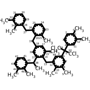 Cc1ccc(C(c2cc(C)c(C)c(Cc3c(C)cc(Cc4c(C)cccc4Cc4cccc(C)c4C)cc3C(C)c3cccc(C)c3C)c2)(C(Cl)(Cl)Cl)C(Cl)(Cl)Cl)cc1C